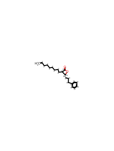 C=CCCCCCCCC1C(=O)O[C@@H]1CCCc1ccccc1